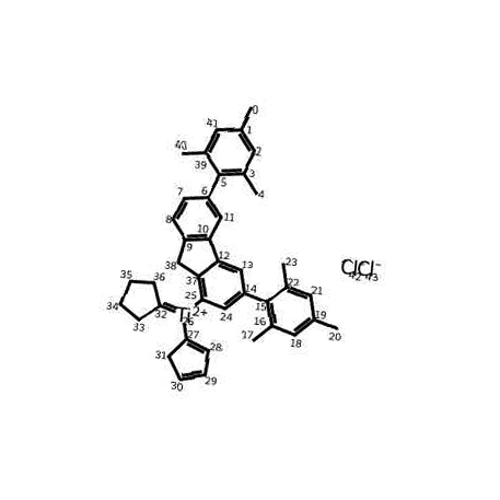 Cc1cc(C)c(-c2ccc3c(c2)-c2cc(-c4c(C)cc(C)cc4C)c[c]([Ti+2]([C]4=CC=CC4)=[C]4CCCC4)c2C3)c(C)c1.[Cl-].[Cl-]